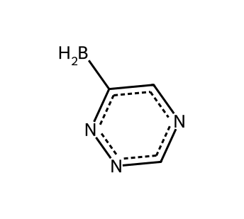 Bc1cncnn1